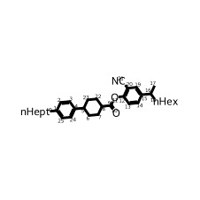 CCCCCCCc1ccc(C2CCC(C(=O)Oc3ccc(C(C)CCCCCC)cc3C#N)CC2)cc1